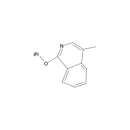 Cc1cnc(OC(C)C)c2ccccc12